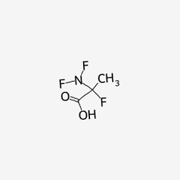 CC(F)(C(=O)O)N(F)F